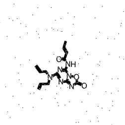 C=CCN(CC=C)c1nc(NC(=O)C=CC)n2oc(=O)nc2n1